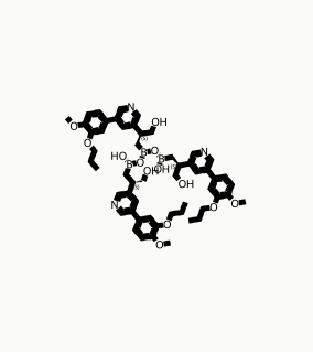 CCCOc1cc(-c2cncc([C@@H](CO)CB(O)OB(C[C@H](CO)c3cncc(-c4ccc(OC)c(OCCC)c4)c3)OB(O)C[C@H](CO)c3cncc(-c4ccc(OC)c(OCCC)c4)c3)c2)ccc1OC